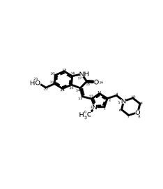 Cn1cc(CN2CCOCC2)cc1/C=C1\C(=O)Nc2ccc(CO)cc21